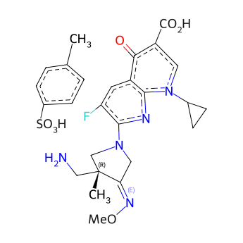 CO/N=C1/CN(c2nc3c(cc2F)c(=O)c(C(=O)O)cn3C2CC2)C[C@@]1(C)CN.Cc1ccc(S(=O)(=O)O)cc1